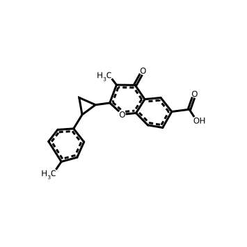 Cc1ccc(C2CC2c2oc3ccc(C(=O)O)cc3c(=O)c2C)cc1